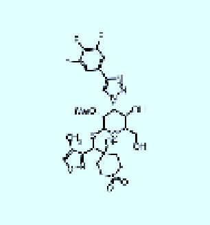 CO[C@@H]1[C@@H](n2cc(-c3cc(F)c(F)c(F)c3)nn2)[C@@H](O)[C@@H](CO)O[C@H]1SC(c1nocc1C)C1(O)CCS(=O)(=O)CC1